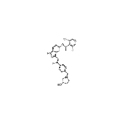 C[C@@H](Oc1ccc2[nH]nc(/C=C(\F)c3ccc(CN4CCC(O)C4)nc3)c2c1)c1c(Cl)cncc1Cl